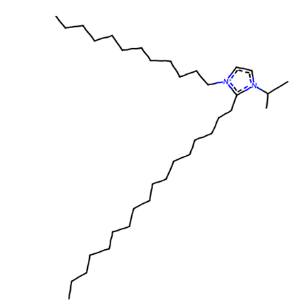 CCCCCCCCCCCCCCCCCc1n(C(C)C)cc[n+]1CCCCCCCCCCCC